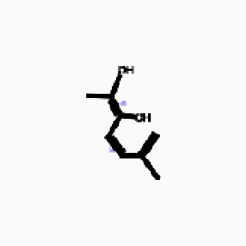 C=C(C)/C=C\C(O)=C(/C)O